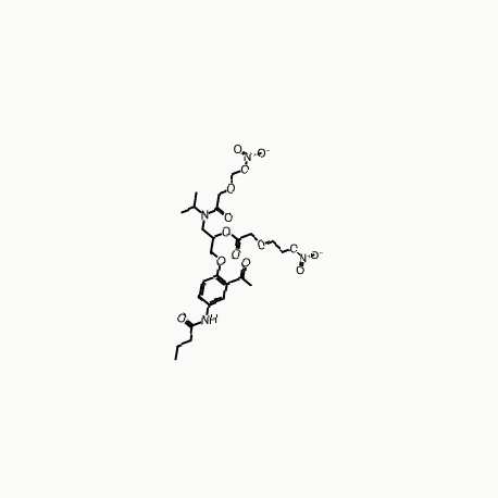 CCCC(=O)Nc1ccc(OCC(CN(C(=O)COCO[N+](=O)[O-])C(C)C)OC(=O)COCCO[N+](=O)[O-])c(C(C)=O)c1